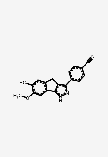 COc1cc2c(cc1O)Cc1c(-c3ccc(C#N)cc3)n[nH]c1-2